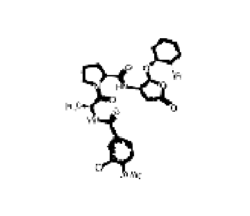 CC(=O)Nc1ccc(C(=O)N[C@@H](C)C(=O)N2CCC[C@H]2C(=O)NC2CC(=O)OC2O[C@H]2CCCC[C@@H]2C(C)C)cc1Cl